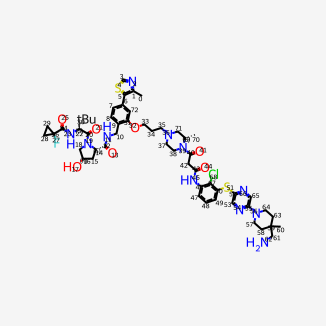 Cc1ncsc1-c1ccc(CNC(=O)[C@@H]2C[C@@H](O)CN2C(=O)[C@@H](NC(=O)C2(F)CC2)C(C)(C)C)c(OCCCN2CCN(C(=O)CC(=O)Nc3cccc(Sc4cnc(N5CCC(C)(CN)CC5)cn4)c3Cl)[C@@H](C)C2)c1